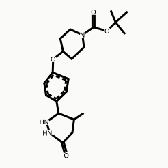 CC1CC(=O)NNC1c1ccc(OC2CCN(C(=O)OC(C)(C)C)CC2)cc1